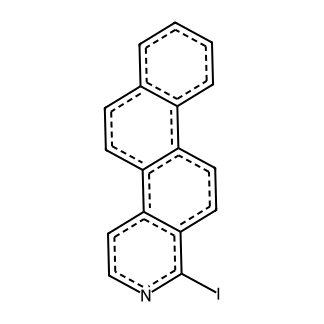 Ic1nccc2c1ccc1c3ccccc3ccc21